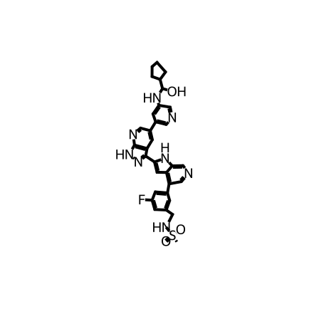 CS(=O)(=O)NCc1cc(F)cc(-c2cncc3[nH]c(-c4n[nH]c5ncc(-c6cncc(NC(O)C7CCCC7)c6)cc45)cc23)c1